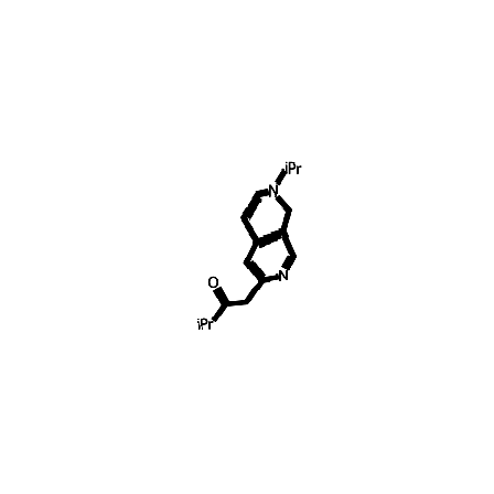 CC(C)C(=O)Cc1cc2c(cn1)CN(C(C)C)C=C2